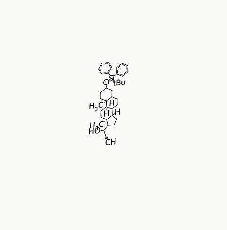 C#CC(O)C1CC[C@H]2[C@@H]3CCC4CC(O[Si](c5ccccc5)(c5ccccc5)C(C)(C)C)CC[C@]4(C)[C@@H]3CC[C@]12C